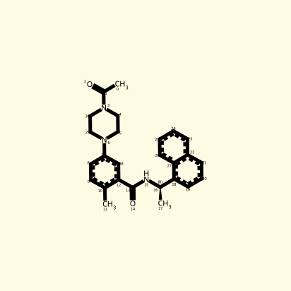 CC(=O)N1CCN(c2ccc(C)c(C(=O)N[C@H](C)c3cccc4ccccc34)c2)CC1